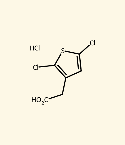 Cl.O=C(O)Cc1cc(Cl)sc1Cl